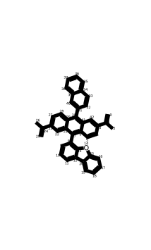 C=C(C)c1ccc2c(-c3cccc4c3oc3ccccc34)c3cc(C(=C)C)ccc3c(-c3ccc4ccccc4c3)c2c1